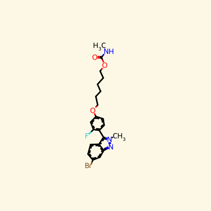 CNC(=O)OCCCCCCOc1ccc(-c2c3ccc(Br)cc3nn2C)c(F)c1